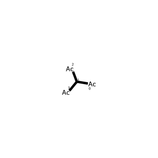 CC(=O)[C](C(C)=O)C(C)=O